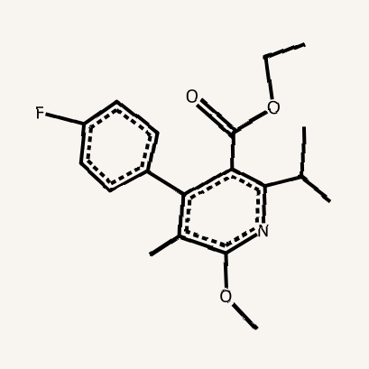 CCOC(=O)c1c(C(C)C)nc(OC)c(C)c1-c1ccc(F)cc1